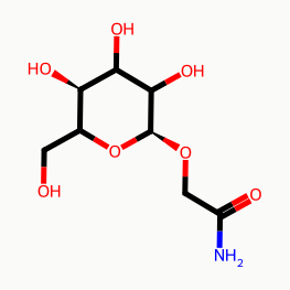 NC(=O)CO[C@H]1OC(CO)[C@@H](O)C(O)C1O